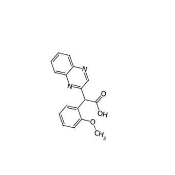 COc1ccccc1C(C(=O)O)c1cnc2ccccc2n1